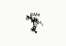 C=CC(=O)N1CC(n2nc(C#Cc3cc4ncn(C5CC5)c4cc3F)c3c(N)ncnc32)C[C@@H]1COC